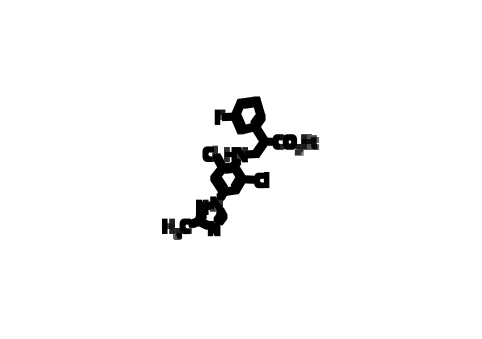 CCOC(=O)C(CNc1c(Cl)cc(-n2cnc(C)n2)cc1Cl)c1cccc(F)c1